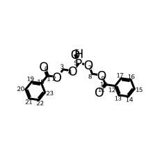 O=C(OCO[PH](=O)OCOC(=O)c1ccccc1)c1ccccc1